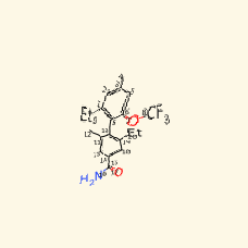 CCc1[c]c(C)cc(OC(F)(F)F)c1-c1c(C)cc(C(N)=O)cc1CC